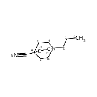 CCCC12CCC(C#N)(CC1)CC2